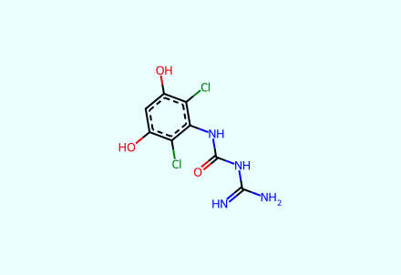 N=C(N)NC(=O)Nc1c(Cl)c(O)cc(O)c1Cl